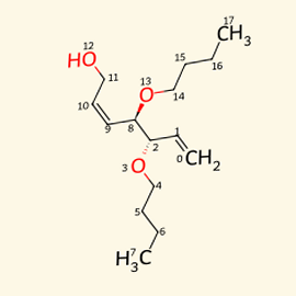 C=C[C@H](OCCCC)[C@@H](/C=C\CO)OCCCC